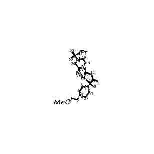 COCCN1CCN(C(C)(C)C(C)Cc2nnc3n2CCN(C(C)(C)C(C)C)C3)CC1